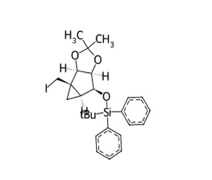 CC1(C)O[C@H]2[C@@H](O[Si](c3ccccc3)(c3ccccc3)C(C)(C)C)[C@H]3C[C@]3(CI)[C@H]2O1